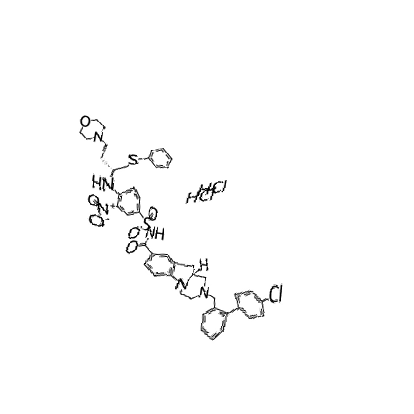 Cl.Cl.O=C(NS(=O)(=O)c1ccc(N[C@H](CCN2CCOCC2)CSc2ccccc2)c([N+](=O)[O-])c1)c1ccc2c(c1)C[C@@H]1CN(Cc3ccccc3-c3ccc(Cl)cc3)CCN21